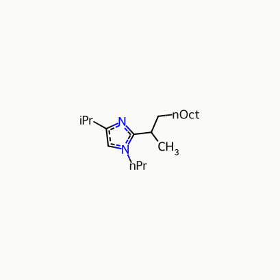 CCCCCCCCCC(C)c1nc(C(C)C)cn1CCC